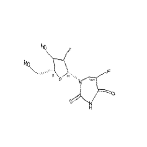 O=c1[nH]c(=O)n([C@@H]2O[C@H](CO)C(O)C2F)cc1F